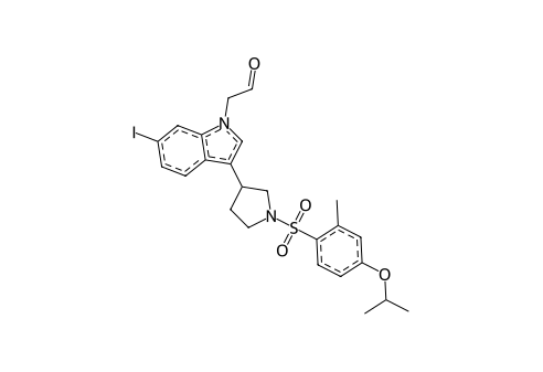 Cc1cc(OC(C)C)ccc1S(=O)(=O)N1CCC(c2cn(CC=O)c3cc(I)ccc23)C1